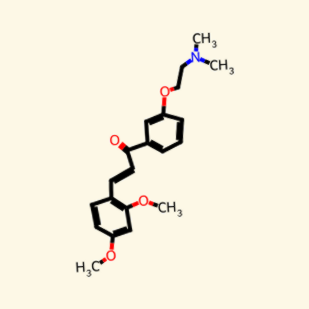 COc1ccc(C=CC(=O)c2cccc(OCCN(C)C)c2)c(OC)c1